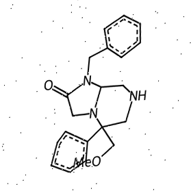 COCC1(c2ccccc2)CNCC2N(Cc3ccccc3)C(=O)CN21